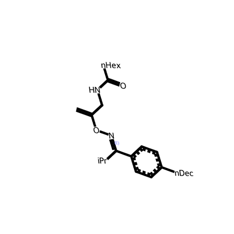 C=C(CNC(=O)CCCCCC)O/N=C(/c1ccc(CCCCCCCCCC)cc1)C(C)C